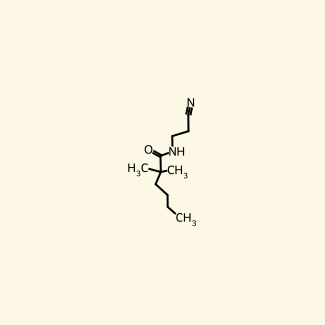 CCCCC(C)(C)C(=O)NCCC#N